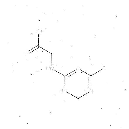 O=C(O)CNC1=NC(F)=N[CH]N1